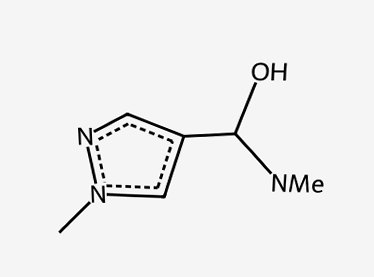 CNC(O)c1cnn(C)c1